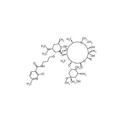 CO[C@]1(C)C[C@H](O[C@H]2[C@H](C)[C@@H](O[C@@H]3O[C@H](C)C[C@H](N(C)C)[C@H]3OCCCNC(=O)c3ccc(C)nc3Cl)[C@](C)(O)C[C@@H](C)CN(C)[C@H](C)[C@@H](O)[C@](C)(O)[C@@H](I)OC(=O)[C@@H]2C)O[C@@H](C)[C@@H]1O